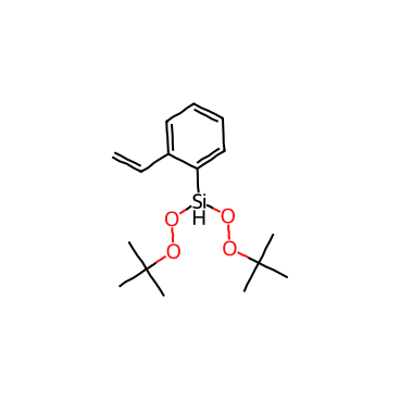 C=Cc1ccccc1[SiH](OOC(C)(C)C)OOC(C)(C)C